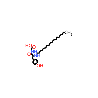 CCCCCCCCCCCCCCCCCCN[C@@H](Cc1ccc(O)cc1)C(=O)NCC(=O)O